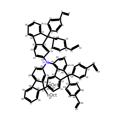 C=Cc1ccc(C2(c3ccc(C=C)cc3)c3ccccc3-c3ccc(N(c4ccc5c(c4)C(CCCCCCCC)(CCCCCCCC)c4ccccc4-5)c4cccc5c4-c4ccccc4C5(c4ccc(C=C)cc4)c4ccc(C=C)cc4)cc32)cc1